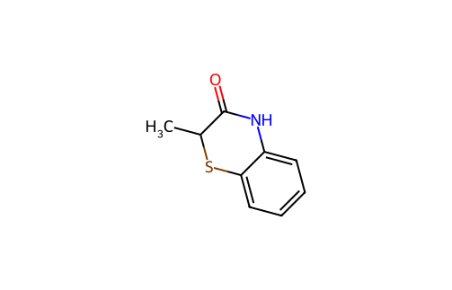 CC1Sc2ccccc2NC1=O